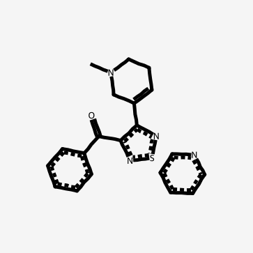 CN1CCC=C(c2nsnc2C(=O)c2ccccc2)C1.c1ccncc1